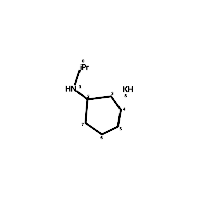 CC(C)NC1CCCCC1.[KH]